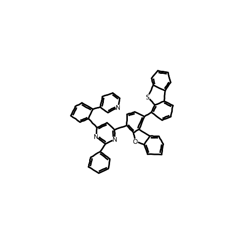 c1ccc(-c2nc(-c3ccccc3-c3cccnc3)cc(-c3ccc(-c4cccc5c4sc4ccccc45)c4c3oc3ccccc34)n2)cc1